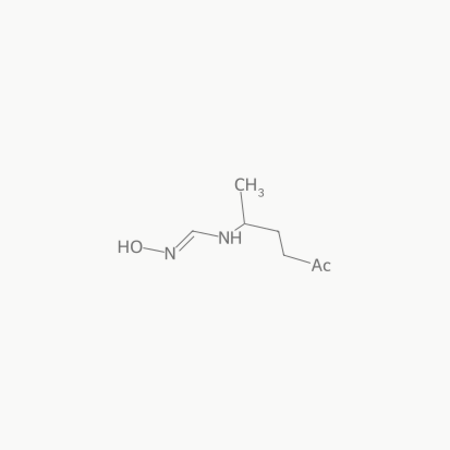 CC(=O)CCC(C)NC=NO